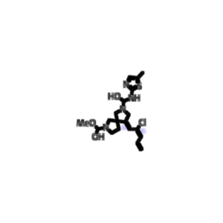 C=C/C=C(Cl)\C=C1/CN(C(O)Nc2ncc(C)s2)CC12CCN(C(O)OC)C2